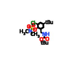 CN(C)S(=O)(=O)Oc1c(Cl)cc(C(C)(C)C)cc1CNC(=O)OC(C)(C)C